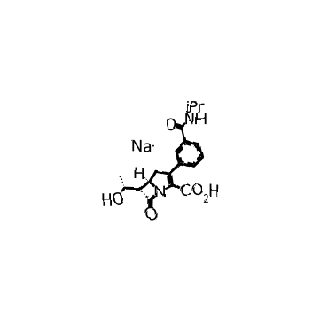 CC(C)NC(=O)c1cccc(C2=C(C(=O)O)N3C(=O)[C@H]([C@@H](C)O)[C@H]3C2)c1.[Na]